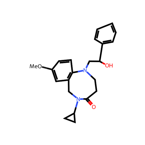 COc1ccc2c(c1)CN(C1CC1)C(=O)CCN2CC(O)c1ccccc1